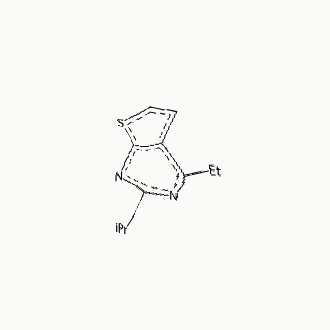 CCc1nc(C(C)C)nc2sccc12